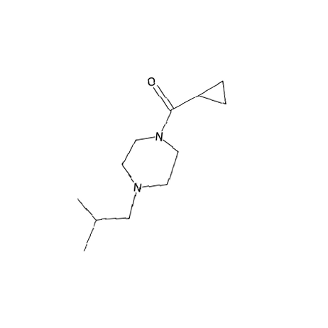 CC(C)CN1CCN(C(=O)C2CC2)CC1